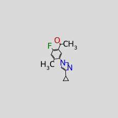 CC(=O)c1cc(-n2cnc(C3CC3)c2)c(C)cc1F